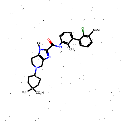 CNc1cccc(-c2cccc(NC(=O)c3nc4c(n3C)CCN(C3CCC(C)(C(=O)O)CC3)C4)c2C)c1Cl